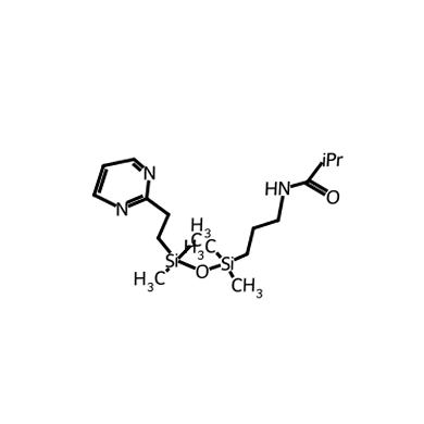 CC(C)C(=O)NCCC[Si](C)(C)O[Si](C)(C)CCc1ncccn1